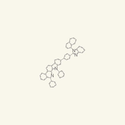 c1ccc(-c2nc3c(ccc4c5ccc(-c6ccc(-c7nc8ccccc8n7-c7cccc8ccccc78)cc6)cc5n(-c5ccccc5)c43)c3ccccc23)cc1